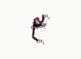 CCCCC/C=C\C/C=C\C/C=C\C/C=C\C/C=C\CCC(=O)O[C@H](COC(=O)CCCCCCCCC/C=C\CCCCCC)COP(=O)(O)OC[C@@H](O)CO